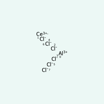 [Al+3].[Ce+3].[Cl-].[Cl-].[Cl-].[Cl-].[Cl-].[Cl-]